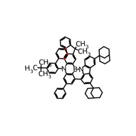 CC(C)(C)c1ccc(N2c3cc4c(cc3B3c5c(cc(-c6ccccc6)cc52)-c2cc(C56CCCC(CCC5)C6)cc5c6cc(C78CCCC(CCC7)C8)ccc6n3c25)C(C)(C)c2ccccc2-4)c(-c2ccccc2)c1